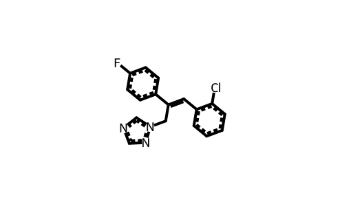 Fc1ccc(/C(=C/c2ccccc2Cl)Cn2cncn2)cc1